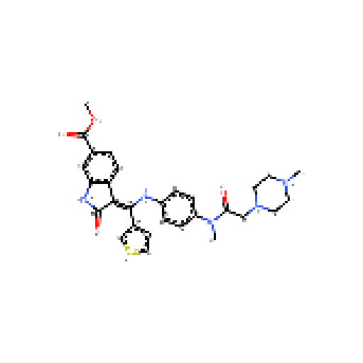 COC(=O)c1ccc2c(c1)NC(=O)C2=C(Nc1ccc(N(C)C(=O)CN2CCN(C)CC2)cc1)c1ccsc1